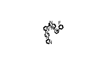 Fc1cccc([C@H]2CCCN2c2ccc3ncc(-c4cccc(N5CCN(c6cccnc6)CC5)n4)n3n2)c1